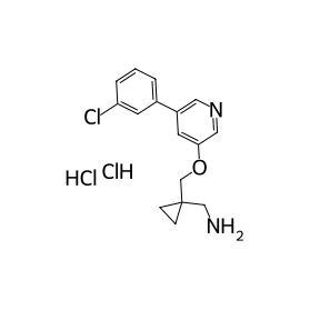 Cl.Cl.NCC1(COc2cncc(-c3cccc(Cl)c3)c2)CC1